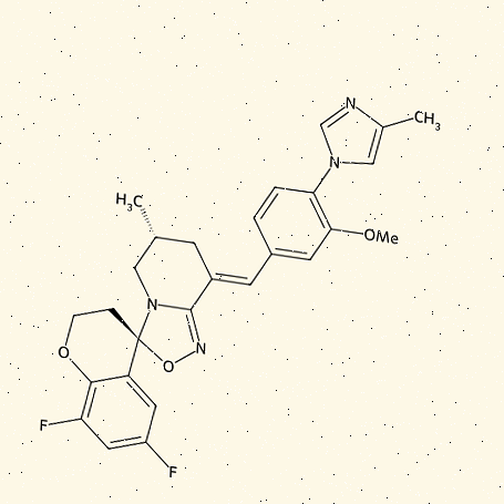 COc1cc(/C=C2\C[C@@H](C)CN3C2=NO[C@@]32CCOc3c(F)cc(F)cc32)ccc1-n1cnc(C)c1